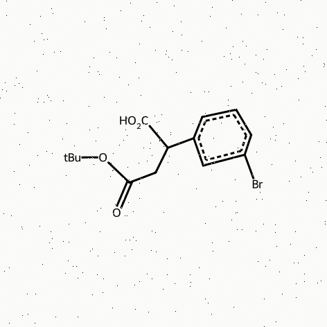 CC(C)(C)OC(=O)CC(C(=O)O)c1cccc(Br)c1